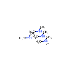 CNC.CNC.CNC.CNC.[Zr]